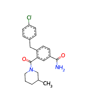 CC1CCCN(C(=O)c2cc(C(N)=O)ccc2Cc2ccc(Cl)cc2)C1